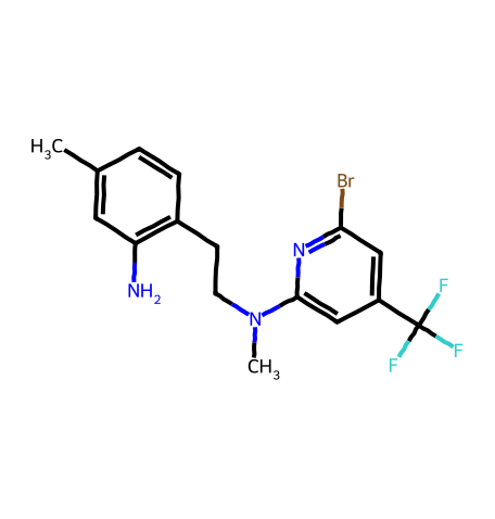 Cc1ccc(CCN(C)c2cc(C(F)(F)F)cc(Br)n2)c(N)c1